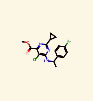 COC(=O)c1nc(C2CC2)nc(NC(C)c2ccc(Br)cc2)c1Cl